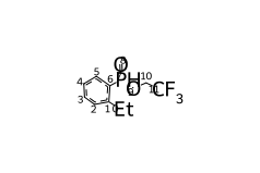 CCc1ccccc1[PH](=O)OCC(F)(F)F